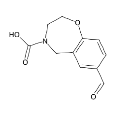 O=Cc1ccc2c(c1)CN(C(=O)O)CCO2